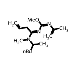 C=CC/C(=N\C(=N/C(=C)C)OC)N(C)C(C)CCCC